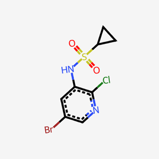 O=S(=O)(Nc1cc(Br)cnc1Cl)C1CC1